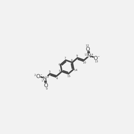 O=[N+]([O-])/C=C/c1ccc(/C=C/[N+](=O)[O-])cc1